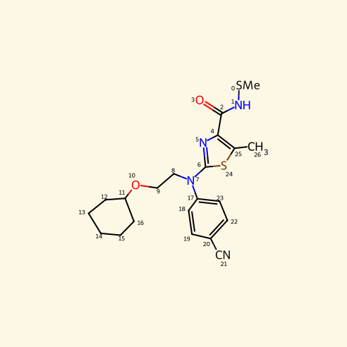 CSNC(=O)c1nc(N(CCOC2CCCCC2)c2ccc(C#N)cc2)sc1C